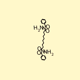 NN(C(=O)CCCCCCCCC(=O)N(N)C(=O)c1ccccc1)C(=O)c1ccccc1